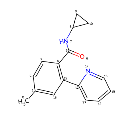 Cc1ccc(C(=O)NC2CC2)c(-c2ccccn2)c1